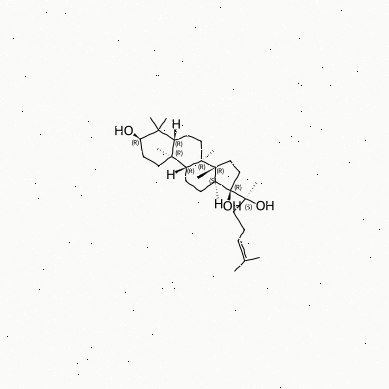 CC(C)=CCC[C@](C)(O)[C@@]1(O)CC[C@]2(C)[C@@H]1CC[C@@H]1[C@@]3(C)CC[C@@H](O)C(C)(C)[C@@H]3CC[C@]12C